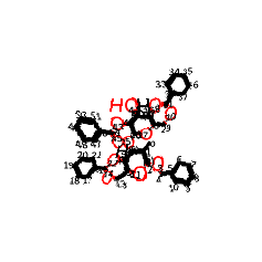 CC1[C@H](OCc2ccccc2)OC2COC(c3ccccc3)O[C@H]2[C@@H]1O[C@@H]1OC2COC(C3C=CC=CC3)O[C@H]2[C@H](O)C1OC(=O)c1ccccc1